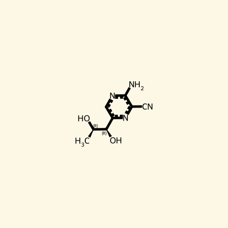 C[C@@H](O)[C@H](O)c1cnc(N)c(C#N)n1